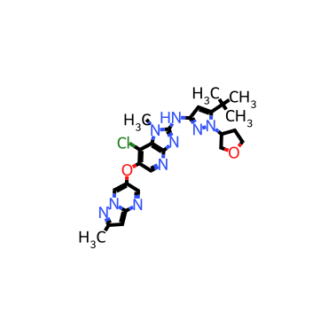 Cc1cc2ncc(Oc3cnc4nc(Nc5cc(C(C)(C)C)n(C6CCOC6)n5)n(C)c4c3Cl)cn2n1